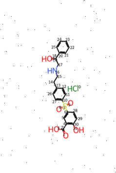 Cl.O=C(O)c1cc(S(=O)(=O)c2ccc(CCNC[C@@H](O)c3ccccc3)cc2)ccc1O